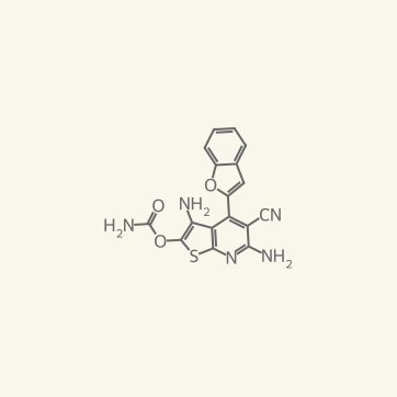 N#Cc1c(N)nc2sc(OC(N)=O)c(N)c2c1-c1cc2ccccc2o1